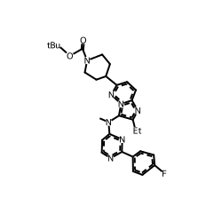 CCc1nc2ccc(C3CCN(C(=O)OC(C)(C)C)CC3)nn2c1N(C)c1ccnc(-c2ccc(F)cc2)n1